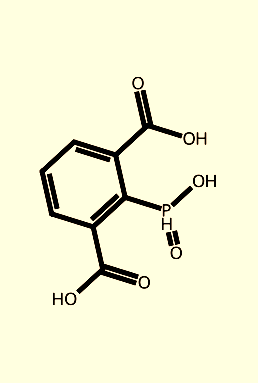 O=C(O)c1cccc(C(=O)O)c1[PH](=O)O